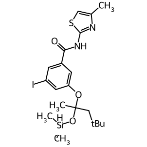 Cc1csc(NC(=O)c2cc(I)cc(OC(C)(CC(C)(C)C)O[SiH](C)C)c2)n1